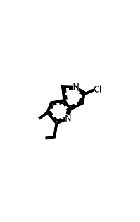 CCc1nc2cc(Cl)ncc2cc1C